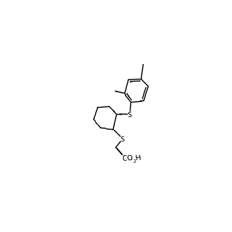 Cc1ccc(SC2CCCCC2SCC(=O)O)c(C)c1